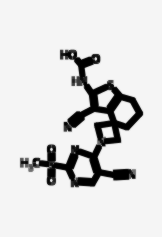 CS(=O)(=O)c1ncc(C#N)c(N2CC3(CCCc4sc(NC(=O)O)c(C#N)c43)C2)n1